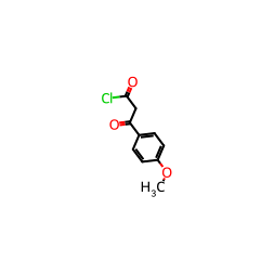 COc1ccc(C(=O)CC(=O)Cl)cc1